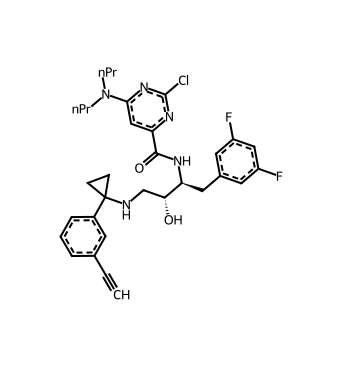 C#Cc1cccc(C2(NC[C@@H](O)[C@H](Cc3cc(F)cc(F)c3)NC(=O)c3cc(N(CCC)CCC)nc(Cl)n3)CC2)c1